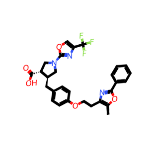 Cc1oc(-c2ccccc2)nc1CCOc1ccc(C[C@@H]2CN(c3nc(C(F)(F)F)co3)C[C@H]2C(=O)O)cc1